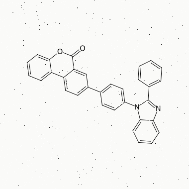 O=c1oc2ccccc2c2ccc(-c3ccc(-n4c(-c5ccccc5)nc5ccccc54)cc3)cc12